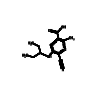 CCC(CC)Nc1cc(C(=O)O)c(C)nc1C#N